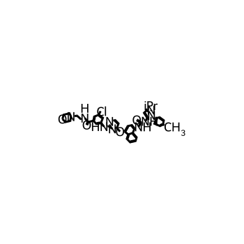 Cc1ccc(-n2nc(C(C)C)cc2NC(=O)Nc2ccc(Oc3ccnc(Nc4cc(Cl)cc(C(=O)NCCN5CCOCC5)c4)n3)c3ccccc23)cc1